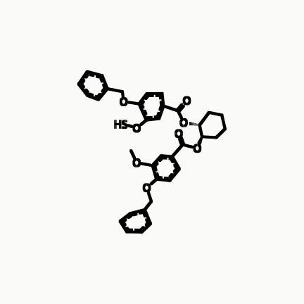 COc1cc(C(=O)O[C@@H]2CCCC[C@H]2OC(=O)c2ccc(OCc3ccccc3)c(OS)c2)ccc1OCc1ccccc1